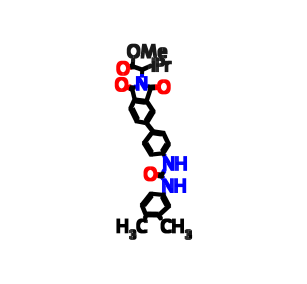 COC(=O)C(C(C)C)N1C(=O)c2ccc(-c3ccc(NC(=O)Nc4ccc(C)c(C)c4)cc3)cc2C1=O